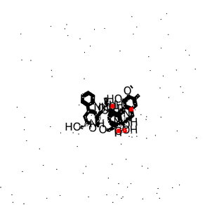 COc1c(C)cc2c(c1O)[C@@H]1[C@H]3[C@H]4SC[C@]5(N[C@H](CO)Cc6c5[nH]c5ccccc65)C(=O)OC[C@H](c5c6c(c(C)c(OC(C)=O)c54)OCO6)N3[C@H](O)[C@H](C2)N1C